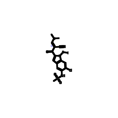 CN(C)/C=C(\C#N)C(=O)c1cc2cc(NS(C)(=O)=O)c(Cl)cc2n1SI